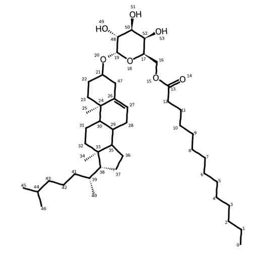 CCCCCCCCCCCCCC(=O)OC[C@H]1O[C@H](OC2CC[C@@]3(C)C(=CCC4C3CC[C@@]3(C)C4CC[C@@H]3[C@H](C)CCCC(C)C)C2)[C@H](O)[C@@H](O)[C@H]1O